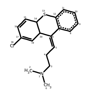 CN(C)CC/C=C1/c2ccccc2SC2C=CC(Cl)=CC12